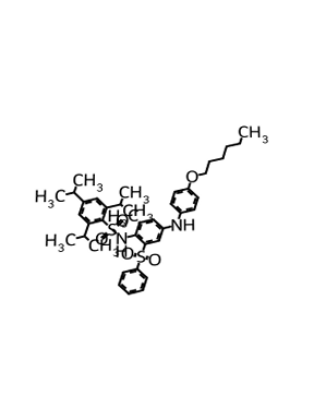 CCCCCCOc1ccc(Nc2cc(C)c(NS(=O)(=O)c3c(C(C)C)cc(C(C)C)cc3C(C)C)c(S(=O)(=O)c3ccccc3)c2)cc1